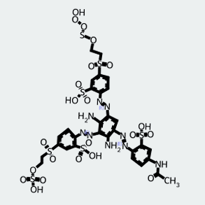 CC(=O)Nc1ccc(/N=N/c2cc(/N=N/c3ccc(S(=O)(=O)CCOSOOO)cc3S(=O)(=O)O)c(N)c(/N=N/c3ccc(S(=O)(=O)CCOS(=O)(=O)O)cc3S(=O)(=O)O)c2N)c(S(=O)(=O)O)c1